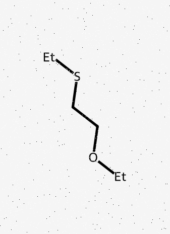 CCOCCSCC